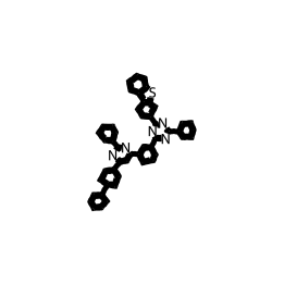 c1ccc(-c2ccc(-c3cc(-c4cccc(-c5nc(-c6ccccc6)nc(-c6ccc7c(c6)sc6ccccc67)n5)c4)nc(-c4ccccc4)n3)cc2)cc1